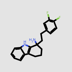 NC1(CCc2ccc(F)c(F)c2)CCCc2c1[nH]c1ccccc21